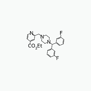 CCOC(=O)c1ccnc(CN2CCN(C(c3cccc(F)c3)c3cccc(F)c3)CC2)c1